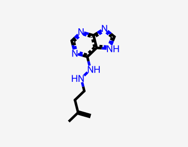 C=C(C)CCNNc1ncnc2nc[nH]c12